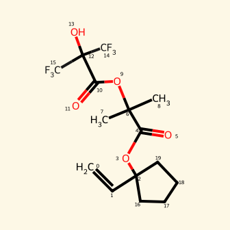 C=CC1(OC(=O)C(C)(C)OC(=O)C(O)(C(F)(F)F)C(F)(F)F)CCCC1